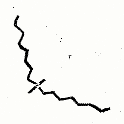 CCCCCCCC[P+](C)(C)CCCCCCCC.[I-]